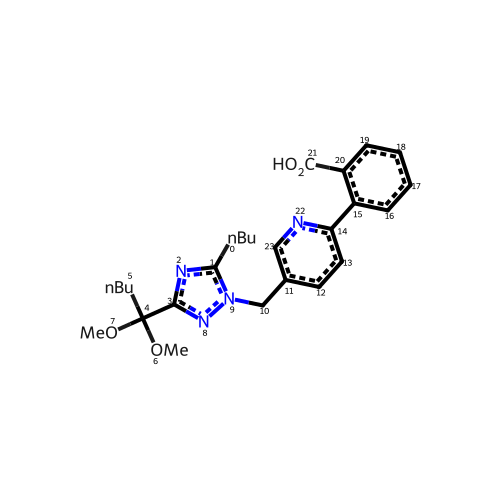 CCCCc1nc(C(CCCC)(OC)OC)nn1Cc1ccc(-c2ccccc2C(=O)O)nc1